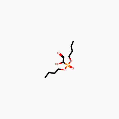 CCCCOP(=O)(OCCCC)C(O)C=O